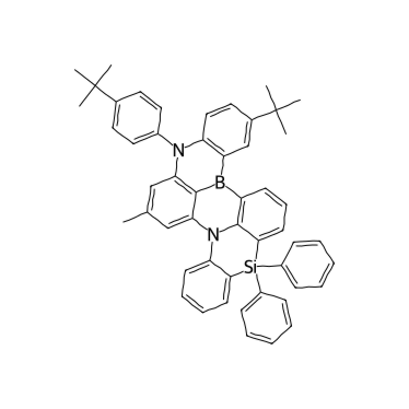 Cc1cc2c3c(c1)N1c4ccccc4[Si](c4ccccc4)(c4ccccc4)c4cccc(c41)B3c1cc(C(C)(C)C)ccc1N2c1ccc(C(C)(C)C)cc1